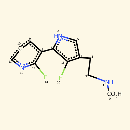 O=C(O)NCCc1c[nH]c(-c2cccnc2F)c1F